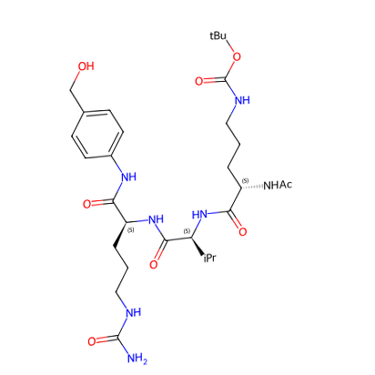 CC(=O)N[C@@H](CCCNC(=O)OC(C)(C)C)C(=O)N[C@H](C(=O)N[C@@H](CCCNC(N)=O)C(=O)Nc1ccc(CO)cc1)C(C)C